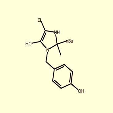 CCCCC1(C)NC(Cl)=C(O)N1Cc1ccc(O)cc1